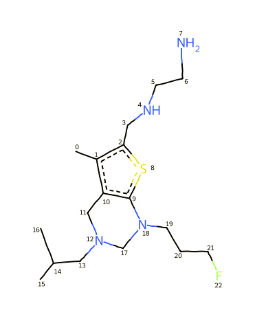 Cc1c(CNCCN)sc2c1CN(CC(C)C)CN2CCCF